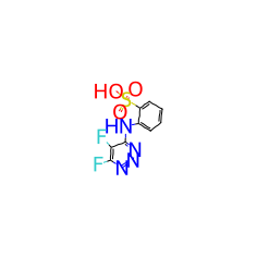 O=S(=O)(O)c1ccccc1Nc1nnnc(F)c1F